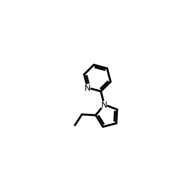 CCc1cccn1-c1ccccn1